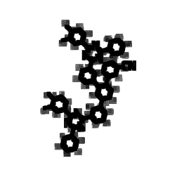 Cc1ccc(-c2nc(-c3ccccc3)nc(-c3cccc(-c4ccc(-c5cccc(C#N)c5)c(-c5cccc(-c6nc(-c7ccccc7)nc(-c7ccc(C)c(C)c7)n6)c5)c4)c3)n2)cc1C